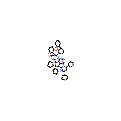 c1ccc(-c2cc(-c3ccccc3)nc(C34c5ccccc5C5(c6nc(-c7cccc8c7oc7ccccc78)c7c(n6)oc6ccccc67)c6ccccc6C35c3ccccc34)n2)cc1